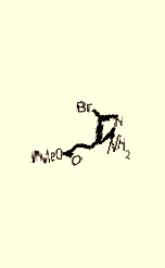 COC(=O)C=Cc1cc(Br)cnc1N